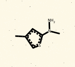 Cc1csc(N(C)N)c1